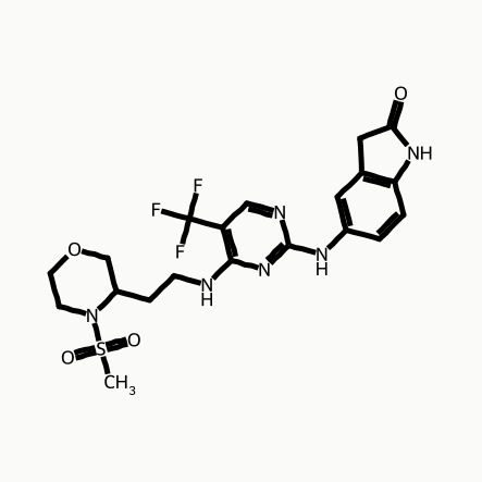 CS(=O)(=O)N1CCOCC1CCNc1nc(Nc2ccc3c(c2)CC(=O)N3)ncc1C(F)(F)F